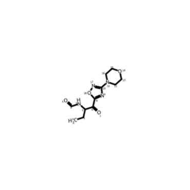 CCC(NC=O)C(=O)c1nc(N2CCOCC2)no1